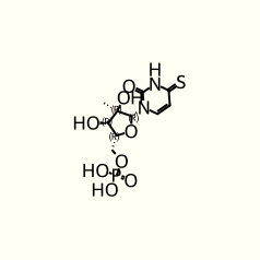 C[C@@]1(O)[C@H](O)[C@@H](COP(=O)(O)O)O[C@H]1n1ccc(=S)[nH]c1=O